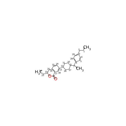 CCCc1ccc(C(C)C2CCC(c3ccc4c(c3)C(=O)OC(CC)C4)CC2)cc1